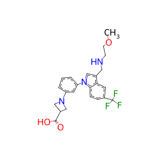 COCCNCc1cn(-c2cccc(N3CC(C(=O)O)C3)c2)c2ccc(C(F)(F)F)cc12